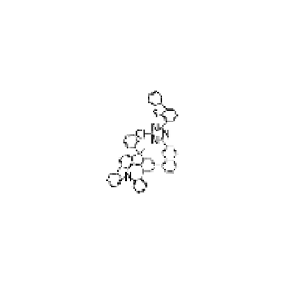 CC1(c2ccccc2)c2cc(-c3cccc4ccc(-c5nc(Cl)nc(-c6cccc7c6sc6ccccc67)n5)cc34)cc3c2-c2c1ccc1c4ccccc4n(c21)-c1ccccc1-3